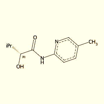 Cc1ccc(NC(=O)[C@H](O)C(C)C)nc1